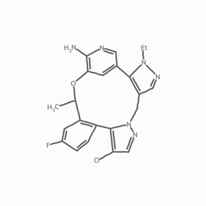 CCn1ncc2c1-c1cnc(N)c(c1)OC(C)c1cc(F)ccc1-c1c(Cl)cnn1C2